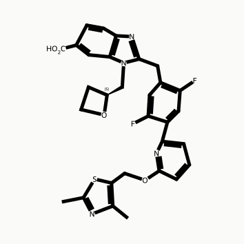 Cc1nc(C)c(COc2cccc(-c3cc(F)c(Cc4nc5ccc(C(=O)O)cc5n4C[C@@H]4CCO4)cc3F)n2)s1